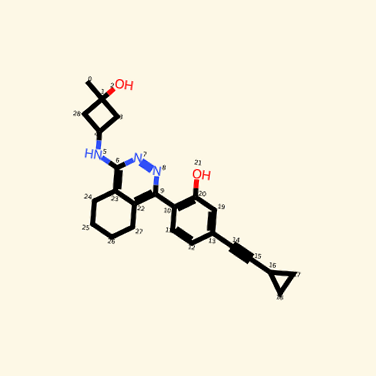 CC1(O)CC(Nc2nnc(-c3ccc(C#CC4CC4)cc3O)c3c2CCCC3)C1